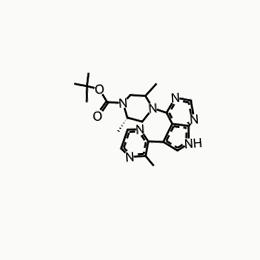 Cc1nccnc1-c1c[nH]c2ncnc(N3C[C@H](C)N(C(=O)OC(C)(C)C)CC3C)c12